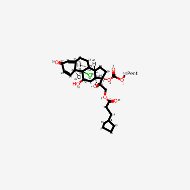 CCCCCOC(=O)O[C@]1(C(=O)COC(=O)CCC2CCCC2)CC[C@H]2[C@@H]3CCC4=CC(=O)C=C[C@]4(C)[C@@]3(Cl)C(O)C[C@@]21C